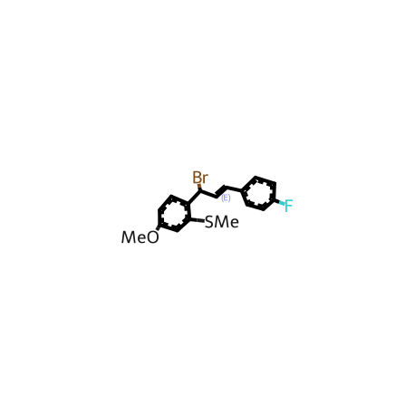 COc1ccc(C(Br)/C=C/c2ccc(F)cc2)c(SC)c1